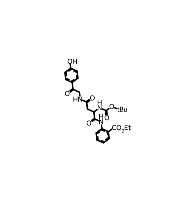 CCOC(=O)c1ccccc1NC(=O)C(CC(=O)NCC(=O)c1ccc(O)cc1)NC(=O)OC(C)(C)C